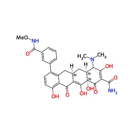 CONC(=O)c1cccc(-c2ccc(O)c3c2C[C@H]2C[C@H]4C(N(C)C)C(O)=C(C(N)=O)C(=O)[C@@]4(O)C(O)=C2C3=O)c1